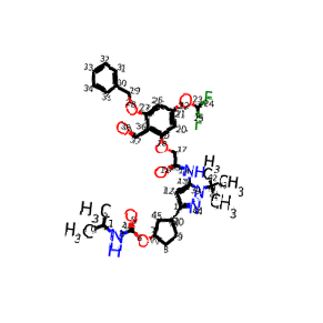 CC(C)NC(=O)O[C@@H]1CC[C@H](c2cc(NC(=O)COc3cc(OC(F)F)cc(OCc4ccccc4)c3C=O)n(C(C)(C)C)n2)C1